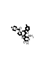 Cc1ccc2oc(-c3c4c(N)n[nH]c(=O)c4nn3C3CCN(C(=O)N4CCN(C)CC4)C3)c(C)c2c1